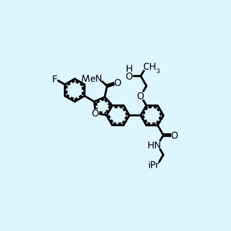 CNC(=O)c1c(-c2ccc(F)cc2)oc2ccc(-c3cc(C(=O)NCC(C)C)ccc3OCC(C)O)cc12